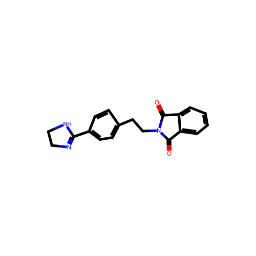 O=C1c2ccccc2C(=O)N1CCc1ccc(C2=NCCN2)cc1